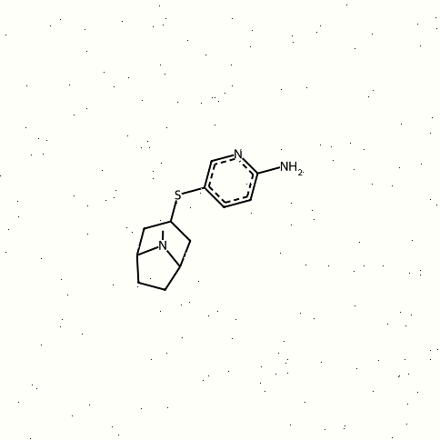 CN1C2CCC1CC(Sc1ccc(N)nc1)C2